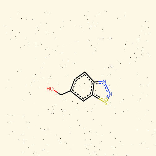 OCc1ccc2nnsc2c1